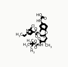 CCn1cc(S(=O)(=O)N2C[C@H](C[C@H](C)C(=O)NS(=O)(=O)C(C)(C)C)Oc3ccc(NC(=O)O)cc32)c(Cl)n1